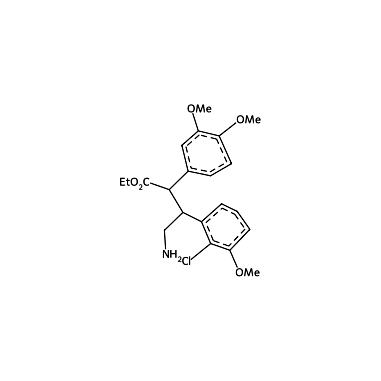 CCOC(=O)C(c1ccc(OC)c(OC)c1)C(CN)c1cccc(OC)c1Cl